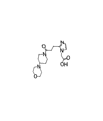 O=C(O)Cn1ccnc1CCC(=O)N1CCC(N2CCOCC2)CC1